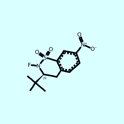 CC(C)(C)[C@@H]1Cc2ccc([N+](=O)[O-])cc2S(=O)(=O)N1F